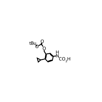 CC(C)(C)OC(=O)OCc1cc(NC(=O)O)ccc1C1CC1